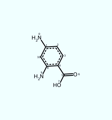 Nc1ccc(C(=O)O)c(N)c1